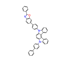 c1ccc(-c2ccc(-n3c4ccccc4c4c5c6ccccc6n(-c6ccc(-c7ccc8nc(-c9ccccc9)oc8c7)cc6)c5ccc43)cc2)cc1